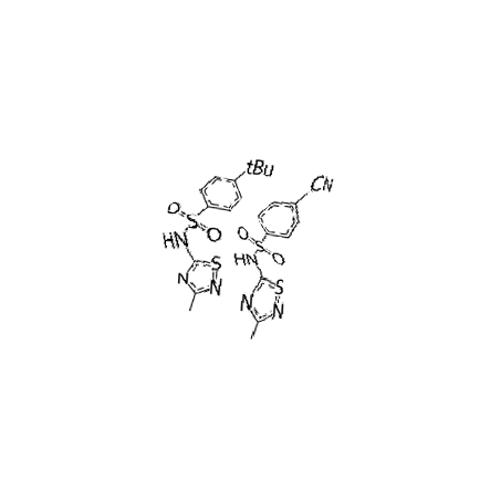 Cc1nsc(NS(=O)(=O)c2ccc(C#N)cc2)n1.Cc1nsc(NS(=O)(=O)c2ccc(C(C)(C)C)cc2)n1